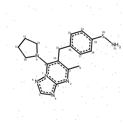 Cc1nc2ncnn2c(N2CCCC2)c1Cc1ccc(SN)cc1